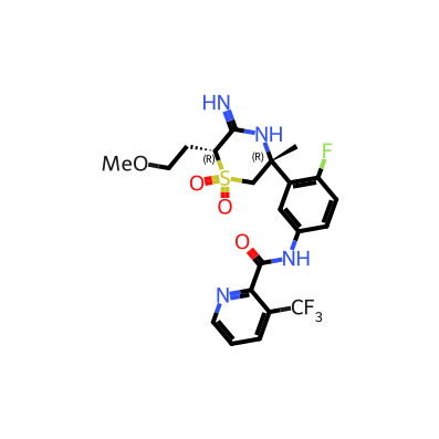 COCC[C@@H]1C(=N)N[C@](C)(c2cc(NC(=O)c3ncccc3C(F)(F)F)ccc2F)CS1(=O)=O